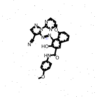 COc1ccc(NC(=O)c2cc3cccc(OC)c3c(/N=N/c3c(C#N)cnn3-c3ncccn3)c2O)cc1